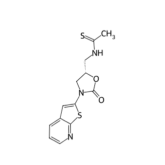 CC(=S)NC[C@H]1CN(c2cc3cccnc3s2)C(=O)O1